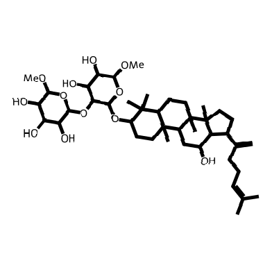 C=C(CCC=C(C)C)C1CCC2(C)C1C(O)CC1C3(C)CCC(OC4OC(OC)C(O)C(O)C4OC4OC(OC)C(O)C(O)C4O)C(C)(C)C3CCC12C